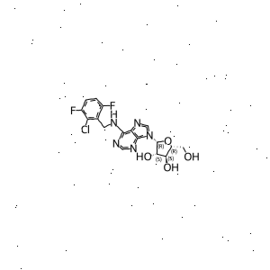 OC[C@H]1O[C@@H](n2cnc3c(NCc4c(F)ccc(F)c4Cl)ncnc32)[C@@H](O)[C@@H]1O